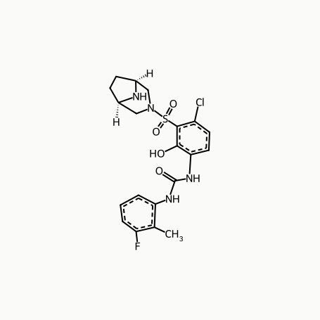 Cc1c(F)cccc1NC(=O)Nc1ccc(Cl)c(S(=O)(=O)N2C[C@H]3CC[C@@H](C2)N3)c1O